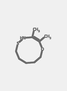 C/C1=C(\C)OCCCCCSN1